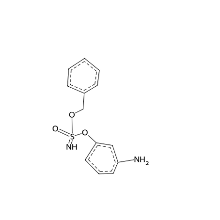 N=S(=O)(OCc1ccccc1)Oc1cccc(N)c1